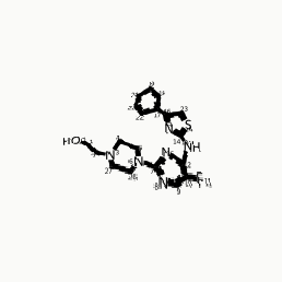 OCCN1CCN(c2ncc(F)c(Nc3nc(-c4ccccc4)cs3)n2)CC1